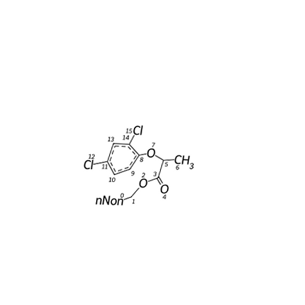 CCCCCCCCCCOC(=O)C(C)Oc1ccc(Cl)cc1Cl